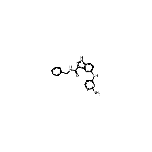 Nc1nccc(Nc2ccc3[nH]nc(C(=O)NCc4ccccc4)c3c2)n1